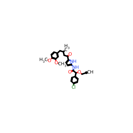 C#CCOC(C(=O)Nc1ccc(C(=O)CC(C)Cc2ccc(OC)c(OC)c2)[nH]1)c1ccc(Cl)cc1